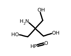 NC(CO)(CO)CO.O=P